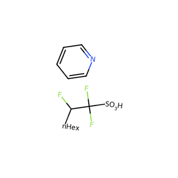 CCCCCCC(F)C(F)(F)S(=O)(=O)O.c1ccncc1